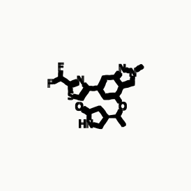 CC(Oc1cc(-c2csc(C(F)F)n2)cc2nn(C)cc12)[C@H]1CNC(=O)C1